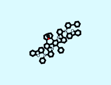 c1ccc(-c2cccc(N(c3cccc4c3oc3ccccc34)c3cccc4c3c3cccc5c6c(-c7ccccc7)c7c(c(-c8ccccc8)c6n4c35)c3c(-c4ccccc4)ccc4c5c(N(c6ccccc6)c6cccc8c6oc6ccccc68)cccc5n7c43)c2)cc1